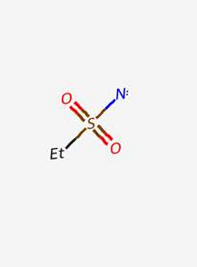 CCS([N])(=O)=O